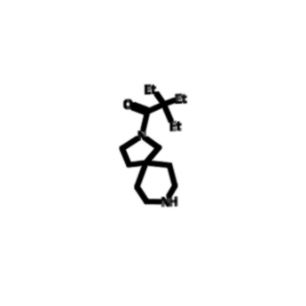 CCC(CC)(CC)C(=O)N1CCC2(CCNCC2)C1